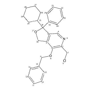 ClCc1ncc2c(c1OCc1ccccc1)COC2(c1ccccc1)C1CCCCC1